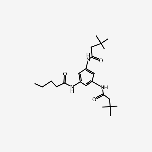 CCCCC(=O)Nc1cc(NC(=O)CC(C)(C)C)cc(NC(=O)CC(C)(C)C)c1